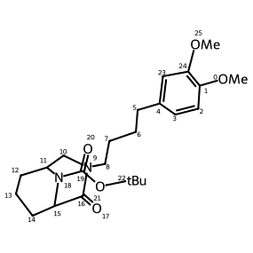 COc1ccc(CCCCN2CC3CCCC(C2=O)N3C(=O)OC(C)(C)C)cc1OC